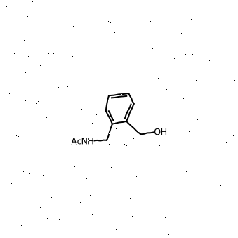 CC(=O)NCc1ccccc1CO